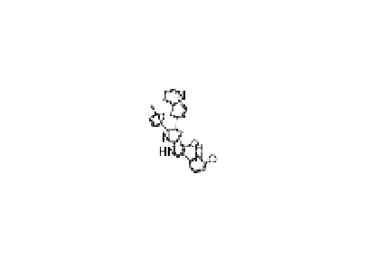 Cc1ccc(-c2nc3[nH]cc(-c4cccc(=O)[nH]4)c(=O)c3cc2-c2ccc3ncccc3c2)o1